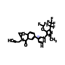 C#CCN(C(=O)c1cc(/C(C=N)=C/Nc2c(OC(F)F)c(C(F)(F)C(F)(F)F)nn2C)ccc1Cl)C1CC1